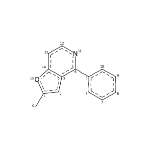 Cc1cc2c(-c3ccccc3)nccc2o1